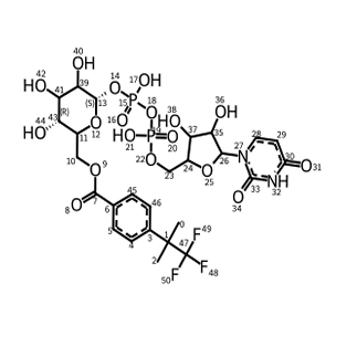 CC(C)(c1ccc(C(=O)OCC2O[C@@H](OP(=O)(O)OP(=O)(O)OCC3OC(n4ccc(=O)[nH]c4=O)C(O)C3O)C(O)C(O)[C@H]2O)cc1)C(F)(F)F